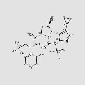 Cc1ccccc1C(CC(F)(F)F)NC(=O)[C@@H]1C[C@@H](O)CN1C(=O)[C@@H](n1cc(C2CC2)nn1)C(C)(C)C